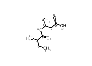 CCC(C)C(=O)OC(C)CC(=O)O